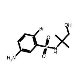 CC(C)(CO)NS(=O)(=O)c1cc(N)ccc1Br